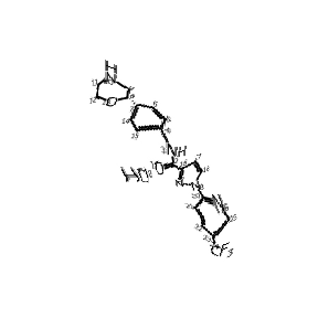 Cl.O=C(Nc1ccc([C@H]2CNCCO2)cc1)c1ccn(-c2ccc(C(F)(F)F)cn2)n1